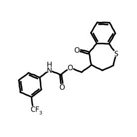 O=C(Nc1cccc(C(F)(F)F)c1)OCC1CCSc2ccccc2C1=O